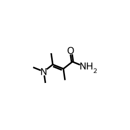 C/C(C(N)=O)=C(/C)N(C)C